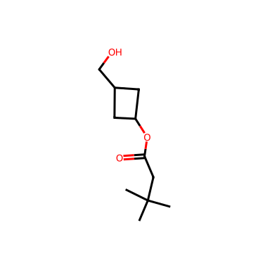 CC(C)(C)CC(=O)OC1CC(CO)C1